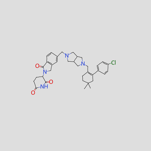 CC1(C)CCC(CN2CC3CN(Cc4ccc5c(c4)CN(C4CCC(=O)NC4=O)C5=O)CC3C2)=C(c2ccc(Cl)cc2)C1